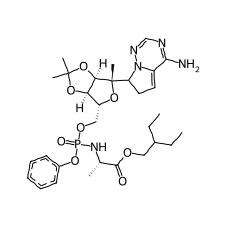 CCC(CC)COC(=O)[C@H](C)NP(=O)(OC[C@H]1O[C@@](C)(C2CC=C3C(N)=NC=NN32)[C@@H]2OC(C)(C)O[C@@H]21)Oc1ccccc1